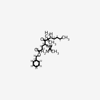 CCCCNC(C)(C)C(=O)C(CCC(=O)OCc1ccccc1)N1CC1(C)N